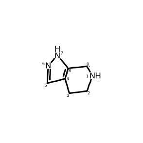 [CH]1NCCc2cn[nH]c21